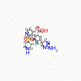 Nc1ncc(-c2ccc(-c3cccnc3S(=O)(=O)C3CCNCC3)cc2F)cn1.O=CO